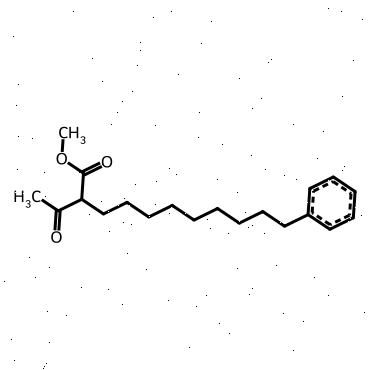 COC(=O)C(CCCCCCCCCc1ccccc1)C(C)=O